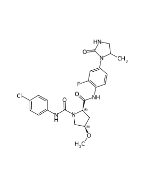 CO[C@@H]1C[C@H](C(=O)Nc2ccc(N3C(=O)NCC3C)cc2F)N(C(=O)Nc2ccc(Cl)cc2)C1